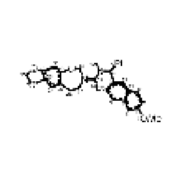 CCC(c1ccc2cc(OC)ccc2c1)N(C)C(CC)N1CCc2cc3c(cc2CC1)OCO3